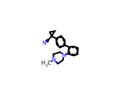 CN1CCN(c2ccccc2-c2ccc(C3(C#N)CC3)cc2)CC1